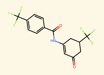 O=C1C=C(NC(=O)c2ccc(C(F)(F)F)cc2)CC(C(F)(F)F)C1